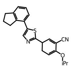 CC(C)OC1=CCC(c2ncc(-c3cccc4c3CCC4)s2)C=C1C#N